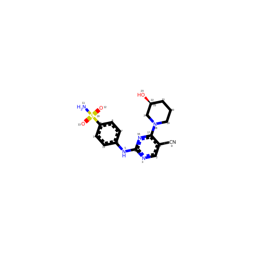 N#Cc1cnc(Nc2ccc(S(N)(=O)=O)cc2)nc1N1CCC[C@H](O)C1